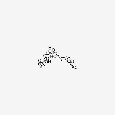 C=C1OC(=O)C(C(O)CC(=O)O[C@H](C)[C@@H](C)C(O)CC(=O)[C@@H](C)C(O)CCC(C)C[C@@H](C)CC(=O)/C=C(/C=C/C(C)=O)CC)=C1C